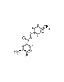 Cc1cc(C(=O)C=Cc2ccc(C(F)(F)F)cc2)ccc1F